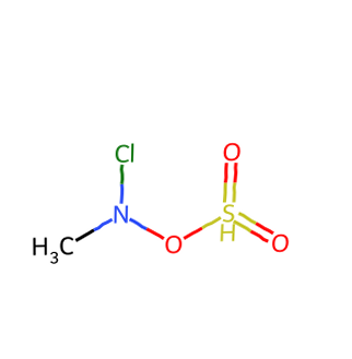 CN(Cl)O[SH](=O)=O